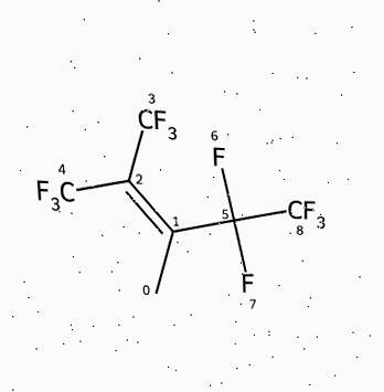 CC(=C(C(F)(F)F)C(F)(F)F)C(F)(F)C(F)(F)F